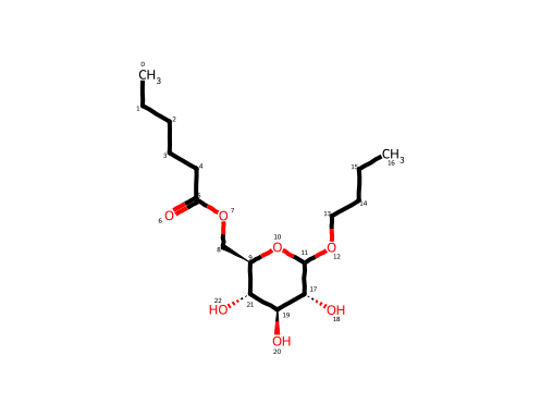 CCCCCC(=O)OC[C@H]1OC(OCCCC)[C@H](O)[C@@H](O)[C@@H]1O